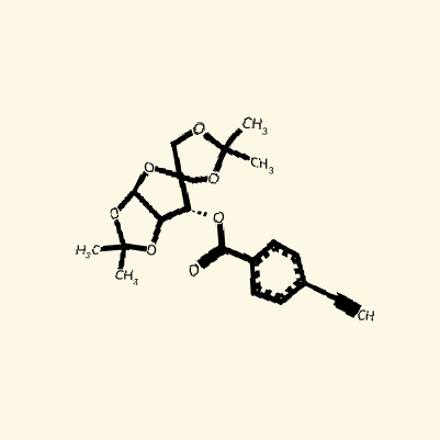 C#Cc1ccc(C(=O)O[C@@H]2C3OC(C)(C)OC3OC23COC(C)(C)O3)cc1